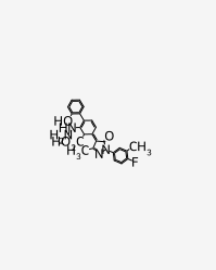 CC1=NN(c2ccc(F)c(C)c2)C(=O)C1=C1C=CC(c2ccccc2O)=C(NN)C1C(=O)O